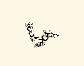 CCC(=S)NC1C(=O)N2CC(CSc3nnc(CNCS(=O)(=O)O)s3)(C(=O)O)CS[C@H]12.[NaH].[NaH]